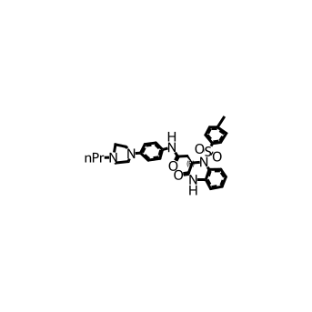 CCCN1CCN(c2ccc(NC(=O)C[C@@H]3C(=O)Nc4ccccc4N3S(=O)(=O)c3ccc(C)cc3)cc2)CC1